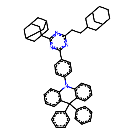 c1ccc(C2(c3ccccc3)c3ccccc3N(c3ccc(-c4nc(CCC5CC6CCCC(C6)C5)nc(C56CC7CC(CC(C7)C5)C6)n4)cc3)c3ccccc32)cc1